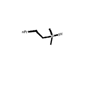 CCCCC[Si](C)(C)S